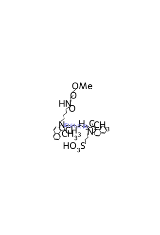 COCCOCCNC(=O)CCCCCN1/C(=C/C=C/C=C/C=C/C2=[N+](CCCCS(=O)(=O)O)c3ccc4ccccc4c3C2(C)C)C(C)(C)c2c1ccc1ccccc21